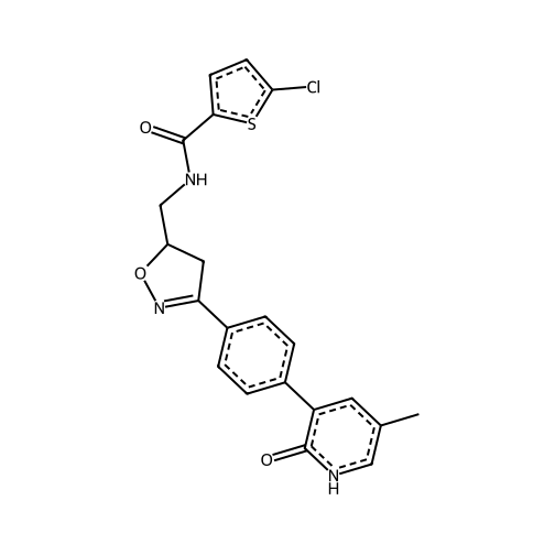 Cc1c[nH]c(=O)c(-c2ccc(C3=NOC(CNC(=O)c4ccc(Cl)s4)C3)cc2)c1